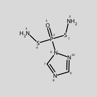 NSP(=O)(SN)n1cncn1